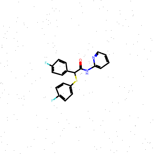 O=C(Nc1ccccn1)C(Sc1ccc(F)cc1)c1ccc(F)cc1